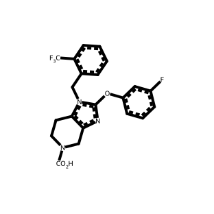 O=C(O)N1CCc2c(nc(Oc3cccc(F)c3)n2Cc2ccccc2C(F)(F)F)C1